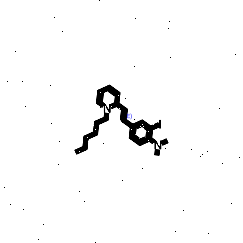 CCCCCCN1C=CC=CC1/C=C/c1ccc(N(C)C)c(I)c1